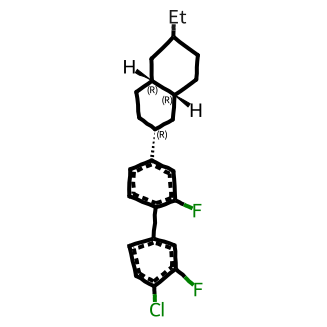 CCC1CC[C@@H]2C[C@H](c3ccc(-c4ccc(Cl)c(F)c4)c(F)c3)CC[C@@H]2C1